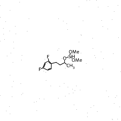 CO[SiH](OC)OC(C)CCc1ccc(F)cc1F